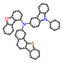 c1ccc(-n2c3ccccc3c3cc(N(c4ccc5ccc6c7ccccc7sc6c5c4)c4cccc5oc6ccccc6c45)ccc32)cc1